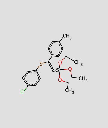 CCO[Si](C=C(Sc1ccc(Cl)cc1)c1ccc(C)cc1)(OCC)OCC